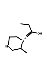 CC1CNCCO1.CCC(=O)O